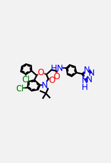 CC(C)(C)CN1C(=O)C(CC(=O)Nc2ccc(-c3nnn[nH]3)cc2)OC(c2ccccc2Cl)c2cc(Cl)ccc21